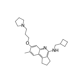 Cc1cc2c3c(c(NCC4CCC4)nc2cc1OCCCN1CCCC1)CCC3